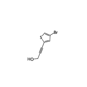 OCC#Cc1cc(Br)cs1